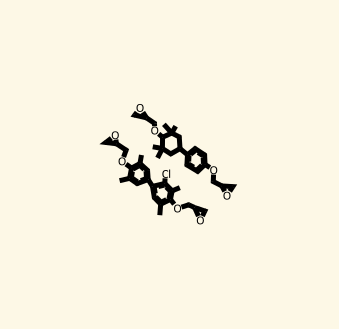 CC1(C)CC(c2ccc(OCC3CO3)cc2)CC(C)(C)C1OCC1CO1.Cc1cc(-c2cc(C)c(OCC3CO3)c(C)c2Cl)cc(C)c1OCC1CO1